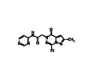 CCc1nn(CC(=O)Nc2ccncn2)c(=O)c2cc(C)nn12